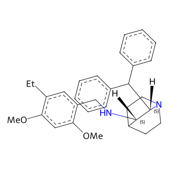 CCc1cc(CN[C@H]2C3CCN(CC3)[C@H]2C(c2ccccc2)c2ccccc2)c(OC)cc1OC